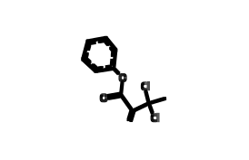 C=C(C(=O)Oc1ccccc1)C(C)(Cl)Cl